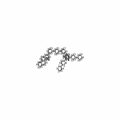 c1ccc(-c2ccc(-c3nc(-c4ccc(-c5ccccc5)cc4)nc(-c4cccc(-c5ccc(-c6cccc(-c7cnc8c(ccc9c%10ccccc%10ccc98)c7)c6)cc5)c4)n3)cc2)cc1